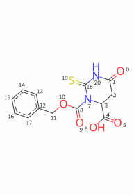 O=C1CC(C(=O)O)N(C(=O)OCc2ccccc2)C(=S)N1